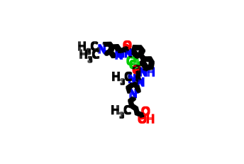 CC(CCC(=O)O)CCN1CCc2c(nc(C(=O)Nc3cccc(-c4cccc(NC(=O)c5cc6c(cn5)CN(C(C)C)CC6)c4Cl)c3Cl)n2C)C1